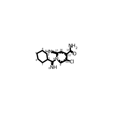 N=C(C1CCCCC1)n1cc(Cl)c(C(N)=O)cc1=N